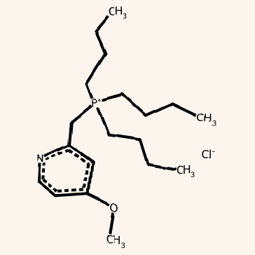 CCCC[P+](CCCC)(CCCC)Cc1cc(OC)ccn1.[Cl-]